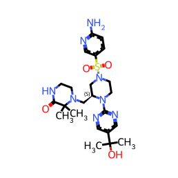 CC(C)(O)c1cnc(N2CCN(S(=O)(=O)c3ccc(N)nc3)C[C@@H]2CN2CCNC(=O)C2(C)C)nc1